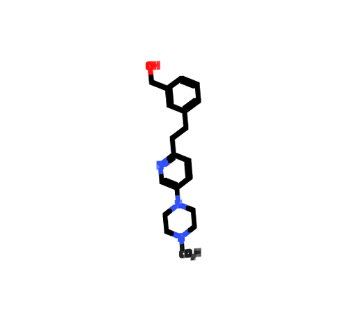 O=C(O)N1CCN(c2ccc(CCc3cccc(CO)c3)nc2)CC1